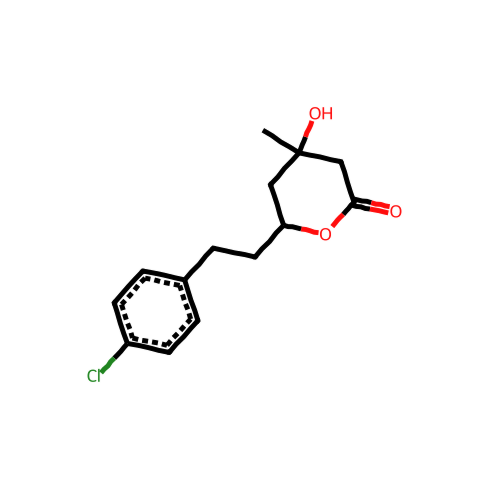 CC1(O)CC(=O)OC(CCc2ccc(Cl)cc2)C1